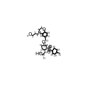 COCCCN1CCOc2ccc(CO[C@@H]3CC[C@@H](C[C@H](C)O)N(S(=O)(=O)c4ccc(C)cc4)C3)cc21